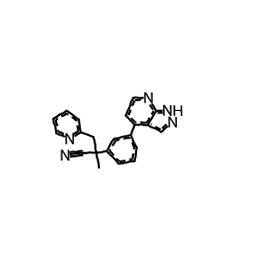 CC(C#N)(Cc1ccccn1)c1cccc(-c2ccnc3[nH]ncc23)c1